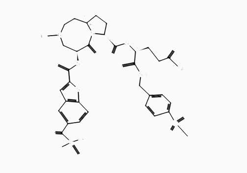 CC(C)N1CC[C@H]2CC[C@@H](C(=O)N[C@@H](CCC(N)=O)C(=O)NCc3ccc(S(C)(=O)=O)cc3)N2C(=O)[C@@H](NC(=O)c2cc3cc(C(=O)P(=O)(O)O)ccc3[nH]2)C1